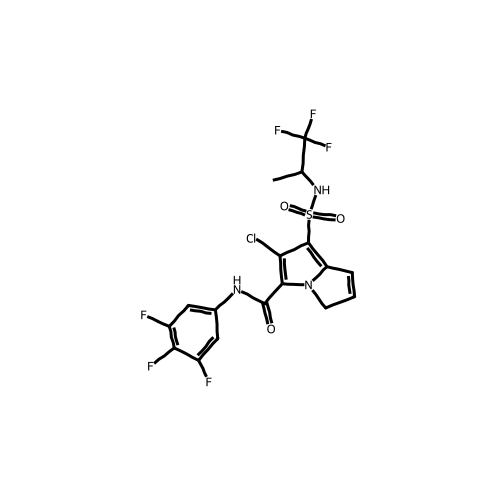 CC(NS(=O)(=O)c1c(Cl)c(C(=O)Nc2cc(F)c(F)c(F)c2)n2c1C=CC2)C(F)(F)F